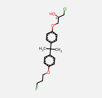 CC(C)(c1ccc(OCCCF)cc1)c1ccc(OC[C@@H](O)CCl)cc1